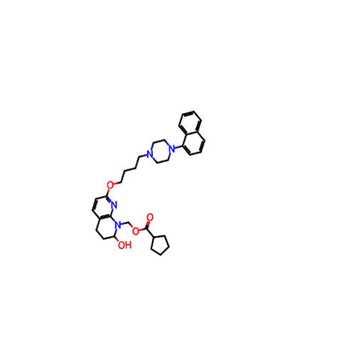 O=C(OCN1c2nc(OCCCCN3CCN(c4cccc5ccccc45)CC3)ccc2CCC1O)C1CCCC1